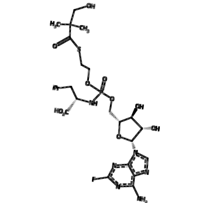 CC(C)C[C@H](NP(=O)(OCCSC(=O)C(C)(C)CO)OC[C@H]1O[C@@H](n2cnc3c(N)nc(F)nc32)[C@@H](O)[C@@H]1O)C(=O)O